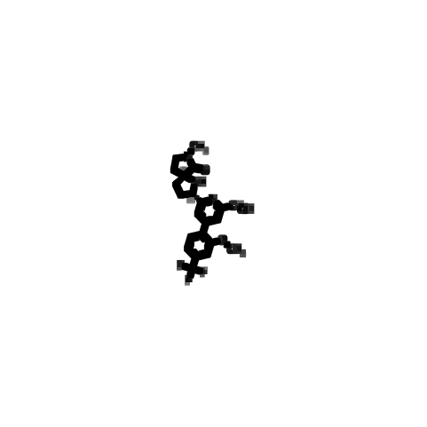 COc1cc(C(F)(F)F)ccc1-c1cc(C)nc([C@@H]2CC[C@]3(CCN(C)C3=O)N2)c1.Cl